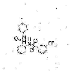 O=C(Nc1ccc(F)cc1)c1ccccc1NS(=O)(=O)c1cccc(C(F)(F)F)c1